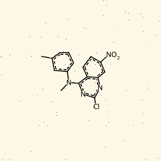 Cc1cccc(N(C)c2nc(Cl)nc3cc([N+](=O)[O-])ccc23)c1